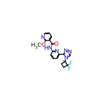 COc1ncccc1C(=O)Nc1cccc(-c2nncn2[C@@H]2CCC2(F)F)n1